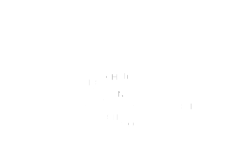 CCCC(=O)[N]([Ti])C(C)(C)c1ccccc1C1C(C)=Cc2ccccc21